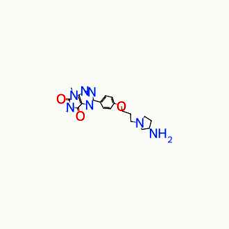 Cn1c(=O)c2nc(-c3ccc(OCCCN4CCC(N)C4)cc3)nnc2n(C)c1=O